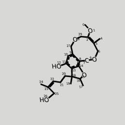 CO/C1=C(\C)COCc2c(cc(O)c3c2OC(C)C3(C)CC/C=C(/C)CO)COC1